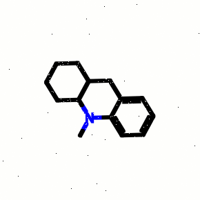 CN1c2ccccc2CC2CCCCC21